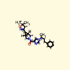 C[C@@H](CCc1ccccc1)n1cnc(C(=O)N2C[C@@H]3C(C4=NOC(C)(C)C4)[C@@H]3C2)c1